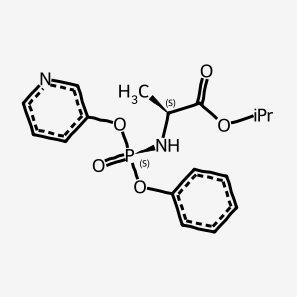 CC(C)OC(=O)[C@H](C)N[P@](=O)(Oc1ccccc1)Oc1cccnc1